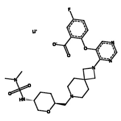 CN(C)S(=O)(=O)N[C@@H]1CC[C@@H](CN2CCC3(CC2)CN(c2ncncc2Oc2ccc(F)cc2C(=O)[O-])C3)OC1.[Li+]